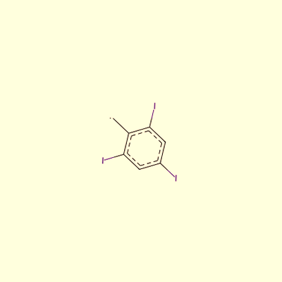 [CH2]c1c(I)cc(I)cc1I